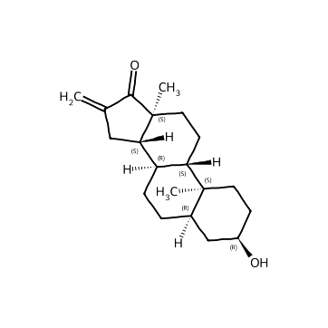 C=C1C[C@H]2[C@@H]3CC[C@@H]4C[C@H](O)CC[C@]4(C)[C@H]3CC[C@]2(C)C1=O